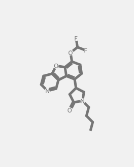 CCCCN1CC(c2ccc(OC(F)F)c3oc4ccncc4c23)CC1=O